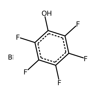 Oc1c(F)c(F)c(F)c(F)c1F.[B]